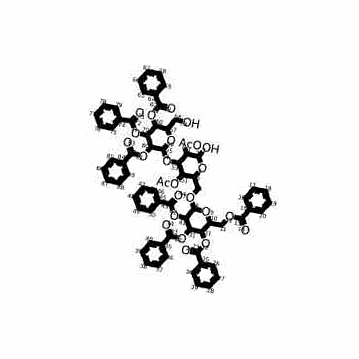 CC(=O)OC1C(O)OC(COC2OC(COC(=O)c3ccccc3)C(OC(=O)c3ccccc3)C(OC(=O)c3ccccc3)C2OC(=O)c2ccccc2)C(OC(C)=O)C1OC1OC(CO)C(OC(=O)c2ccccc2)C(OC(=O)c2ccccc2)C1OC(=O)c1ccccc1